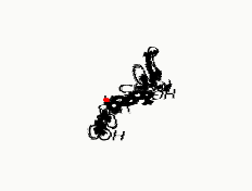 C=C/C(=C\N=C(/C)OC)n1c(=O)c(Cl)c([C@@]23CC[C@]4(C)C(CC[C@H]5C4(C)CC[C@H]4C(C)(C)[C@@H](OC(=O)CC(C)(C)C(=O)O)CC[C@@]45C)C2=C(C(C)C)[C@@H](O)C3)n1CCN(C)C